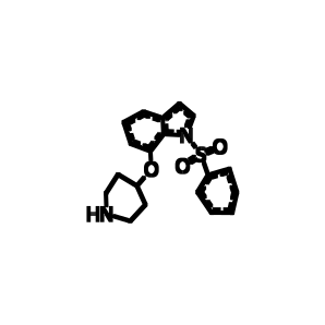 O=S(=O)(c1ccccc1)n1ccc2cccc(OC3CCNCC3)c21